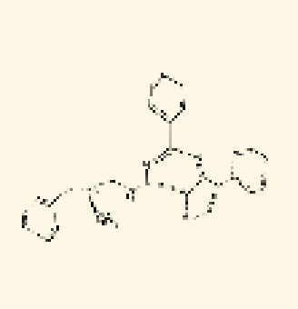 N[C@H](CNc1nc(-c2ccncc2)nc2c(-c3ccccc3)csc12)Cc1ccccc1